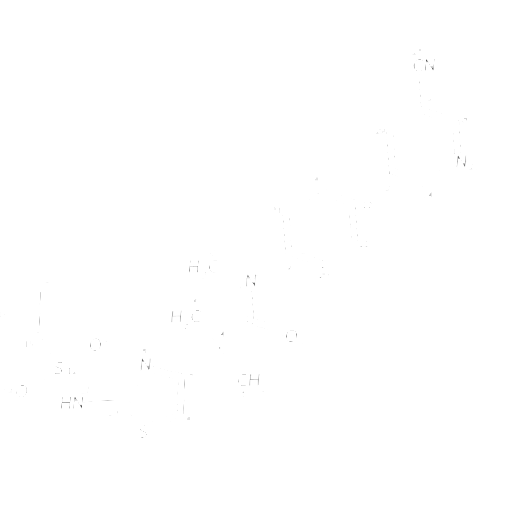 CN(C(=O)C(C)(C)c1csc(NS(=O)(=O)C2CC2)n1)c1ccc(-c2cncc(C#N)c2)cc1